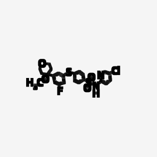 COC1(c2cc(F)cc(Sc3ccc(S(=O)(=O)Nc4ccc(Cl)cn4)cc3)c2)CCOCC1